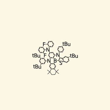 CC(C)(C)c1ccc(N2c3cc(N(c4ccccc4F)c4ccccc4F)cc4c3B(c3cc5c(cc3N4c3cc(C(C)(C)C)cc(C(C)(C)C)c3)C(C)(C)CCC5(C)C)c3sc4ccc(C(C)(C)C)cc4c32)cc1